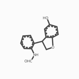 O=CNc1ccccc1C1COc2ccc(O)cc21